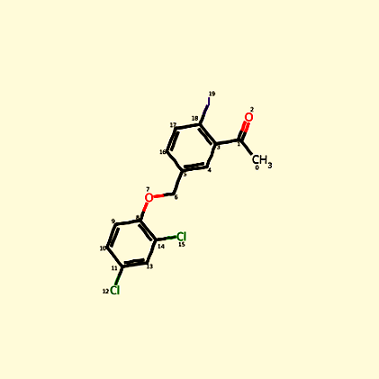 CC(=O)c1cc(COc2ccc(Cl)cc2Cl)ccc1I